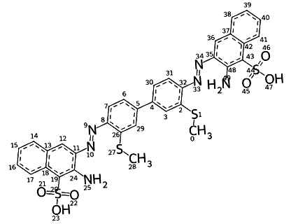 CSc1cc(-c2ccc(/N=N/c3cc4ccccc4c(S(=O)(=O)O)c3N)c(SC)c2)ccc1/N=N/c1cc2ccccc2c(S(=O)(=O)O)c1N